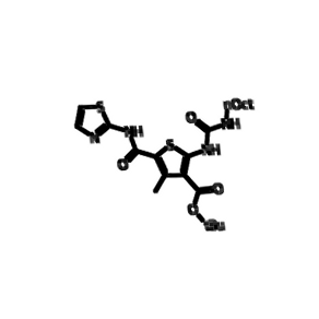 CCCCCCCCNC(=O)Nc1sc(C(=O)Nc2nccs2)c(C)c1C(=O)OC(C)(C)C